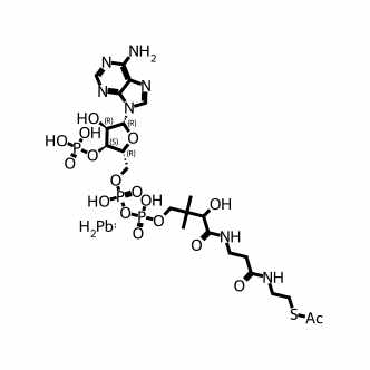 CC(=O)SCCNC(=O)CCNC(=O)C(O)C(C)(C)COP(=O)(O)OP(=O)(O)OC[C@H]1O[C@@H](n2cnc3c(N)ncnc32)[C@H](O)[C@@H]1OP(=O)(O)O.[PbH2]